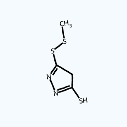 CSSC1=NN=C(S)C1